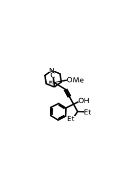 CCC(CC)C(O)(C#C[C@@]1(OC)CN2CCC1CC2)c1ccccc1